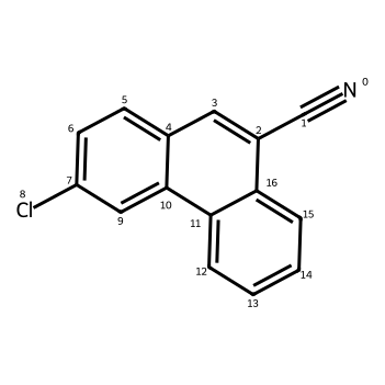 N#Cc1cc2ccc(Cl)cc2c2ccccc12